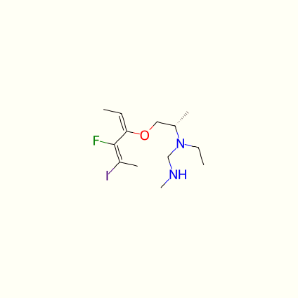 C/C=C(OC[C@H](C)N(CC)CNC)\C(F)=C(/C)I